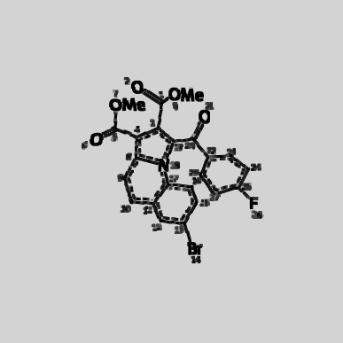 COC(=O)c1c(C(=O)OC)c2ccc3cc(Br)ccc3n2c1C(=O)c1ccc(F)cc1